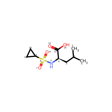 CC(C)C[C@@H](NS(=O)(=O)C1CC1)C(=O)O